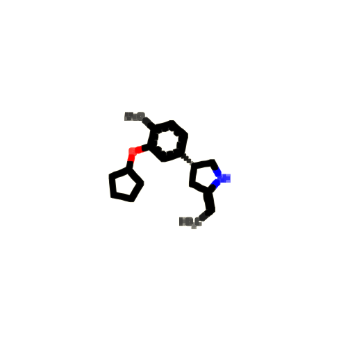 COc1ccc([C@@H]2CNC(=CC(=O)O)C2)cc1OC1CCCC1